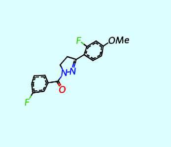 COc1ccc(C2=NN(C(=O)c3cccc(F)c3)CC2)c(F)c1